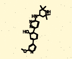 COc1cc(-c2ccc(-c3ccc(NC4CC(C)(C)NC(C)(C)C4)nn3)c(O)c2)ccn1